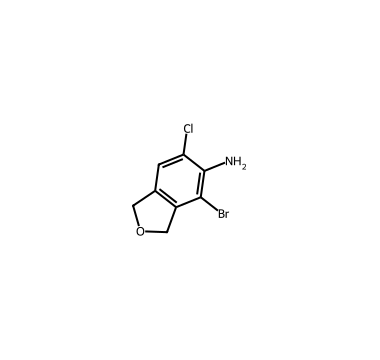 Nc1c(Cl)cc2c(c1Br)COC2